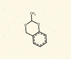 CC1OCc2ccccc2O1